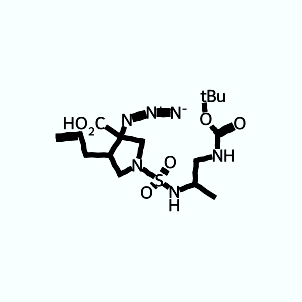 C=CCC1CN(S(=O)(=O)NC(C)CNC(=O)OC(C)(C)C)CC1(N=[N+]=[N-])C(=O)O